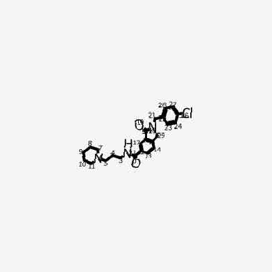 O=C(NCCCN1CCCCC1)c1ccc2c(c1)C(=O)N(Cc1ccc(Cl)cc1)C2